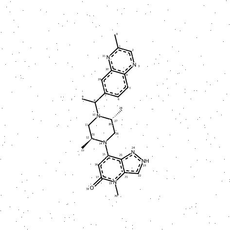 Cc1cnc2ccc(C(C)N3C[C@H](C)N(c4cc(=O)n(C)c5c[nH]nc45)C[C@H]3C)cc2n1